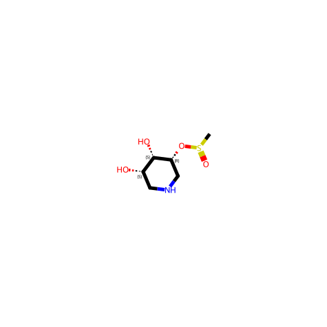 CS(=O)O[C@@H]1CNC[C@H](O)[C@@H]1O